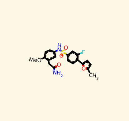 COc1ccc(NS(=O)(=O)c2ccc(-c3ccc(C)o3)c(F)c2)cc1CC(N)=O